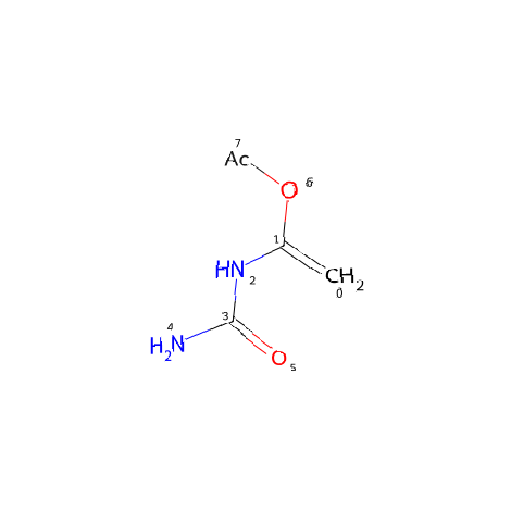 C=C(NC(N)=O)OC(C)=O